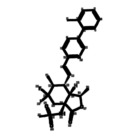 Cc1ccccc1-c1ccc(/C=C/[C@@H]2[C@@H]3[C@@H](C)OC(=O)[C@]3(NS(C)(=O)=O)CC(F)(F)[C@H]2C)nc1